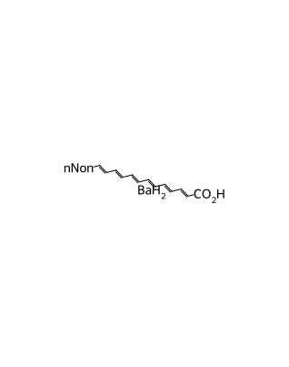 CCCCCCCCCC=CC=CC=CC=CC=CC=CC(=O)O.[BaH2]